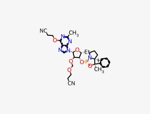 CC[C@H]1O[C@@H](n2cnc3c(OCCC#N)nc(C)nc32)C(OCOCCC#N)[C@H]1O[P@@]1O[C@](C)(c2ccccc2)[C@@H]2CCCN21